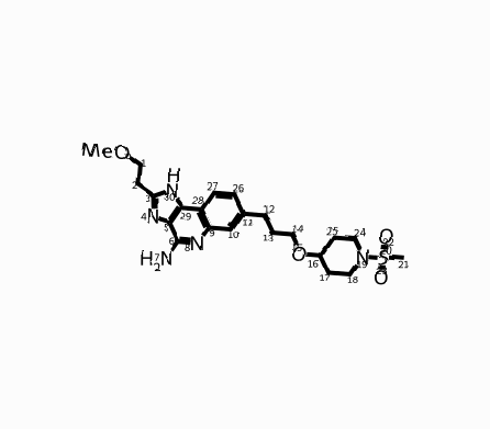 COCCc1nc2c(N)nc3cc(CCCOC4CCN(S(C)(=O)=O)CC4)ccc3c2[nH]1